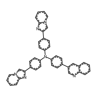 c1ccc2ncc(-c3ccc(N(c4ccc(-c5cn6ccccc6n5)cc4)c4ccc(-c5cn6ccccc6n5)cc4)cc3)cc2c1